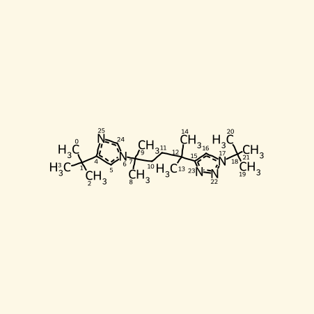 CC(C)(C)c1cn(C(C)(C)CCC(C)(C)c2cn(C(C)(C)C)nn2)cn1